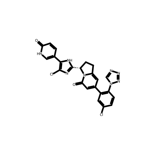 O=c1ccc(-c2[nH]c([C@@H]3CCc4cc(-c5cc(Cl)ccc5-n5cnnn5)cc(=O)n43)nc2Cl)c[nH]1